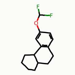 FC(F)Oc1ccc2c(c1)C1CCCCC1CC2